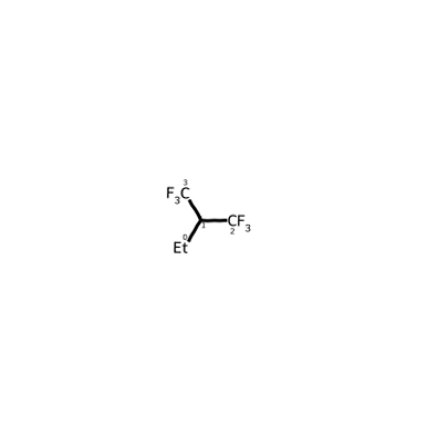 CC[C](C(F)(F)F)C(F)(F)F